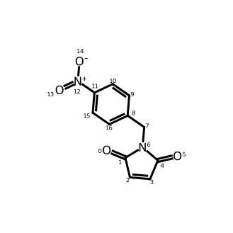 O=C1C=CC(=O)N1Cc1ccc([N+](=O)[O-])cc1